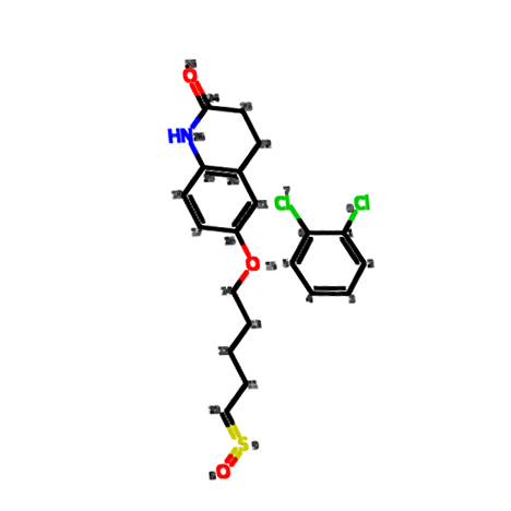 Clc1ccccc1Cl.O=S=CCCCCOc1ccc2c(c1)CCC(=O)N2